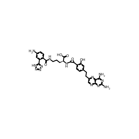 Nc1ccc(C(=O)NCCC[C@H](NC2OC2c2ccc(CCc3cnc4nc(N)nc(N)c4n3)cc2O)C(=O)O)c(-c2nnn[nH]2)c1